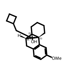 COc1ccc2c(c1)[C@@]13CCCC[C@@]1(O)[C@@H](C2)N(CC1CCC1)CCC3